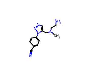 CN(CCN)Cc1cnnn1-c1ccc(C#N)cc1